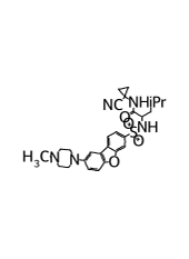 CC(C)CC(NS(=O)(=O)c1ccc2c(c1)oc1ccc(N3CCN(C)CC3)cc12)C(=O)NC1(C#N)CC1